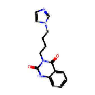 O=c1[nH]c2ccccc2c(=O)n1CCCCn1ccnc1